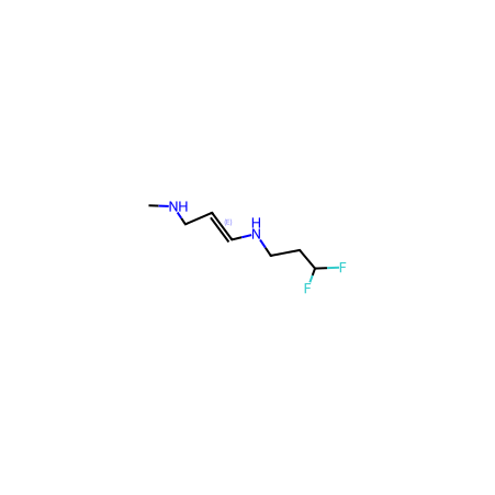 CNC/C=C/NCCC(F)F